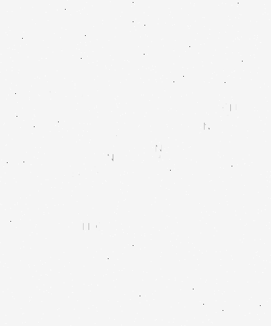 CC1CC(N2CCN(C)CC2)N(Cc2ccccc2)C1=O